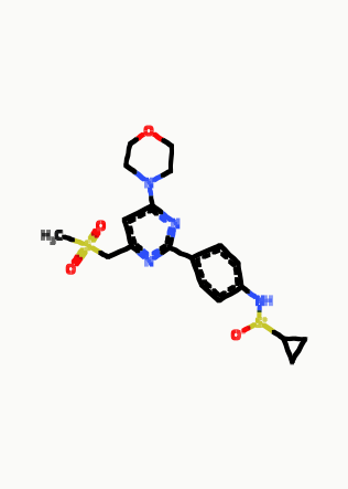 CS(=O)(=O)Cc1cc(N2CCOCC2)nc(-c2ccc(N[S+]([O-])C3CC3)cc2)n1